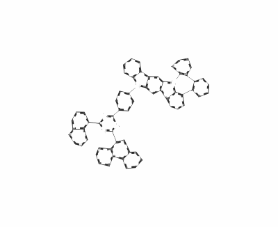 c1ccc2c(c1)-c1ccccc1-n1c3cc4c5ccccc5n(-c5ccc(-c6nc(-c7cccc8ccccc78)nc(-c7cc8ccccc8c8ccccc78)n6)cc5)c4cc3c3cccc-2c31